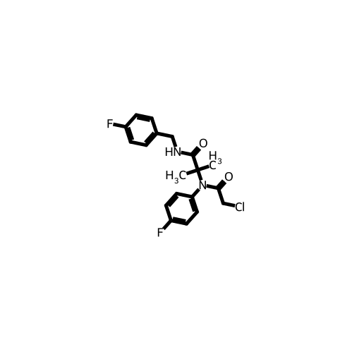 CC(C)(C(=O)NCc1ccc(F)cc1)N(C(=O)CCl)c1ccc(F)cc1